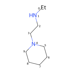 CCNCCN1CCCCC1